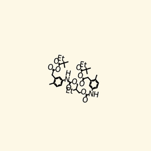 CCC(COC(=O)Nc1ccc(C)c(CC(=O)OC(=O)C(C)(C)CC)c1)COC(=O)Nc1ccc(C)c(CC(=O)OC(=O)C(C)(C)CC)c1